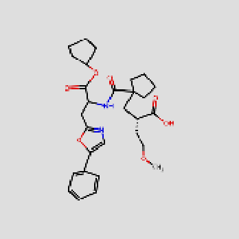 COCC[C@H](CC1(C(=O)NC(Cc2ncc(-c3ccccc3)o2)C(=O)OC2CCCC2)CCCC1)C(=O)O